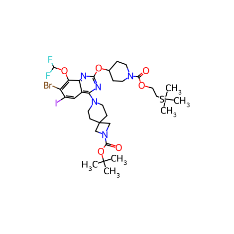 CC(C)(C)OC(=O)N1CC2(CCN(c3nc(OC4CCN(C(=O)OCC[Si](C)(C)C)CC4)nc4c(OC(F)F)c(Br)c(I)cc34)CC2)C1